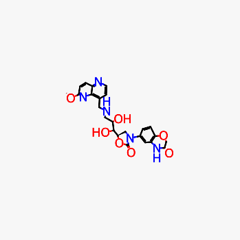 COc1ccc2nccc(CNC[C@@H](O)[C@H](O)[C@H]3CN(c4ccc5c(c4)NC(=O)CO5)C(=O)O3)c2n1